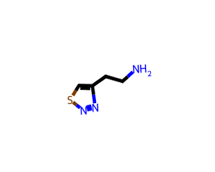 NCCc1csnn1